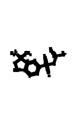 CC1(C)CNc2ccc(S(=O)(=O)C[N+](=O)[O-])cc21